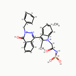 C.Cc1c(-c2nn(Cc3ccccc3)c(=O)c3ccccc23)c2ccccc2n1CC(=O)N=S(=O)=O